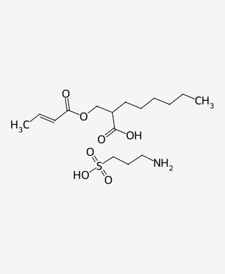 CC=CC(=O)OCC(CCCCCC)C(=O)O.NCCCS(=O)(=O)O